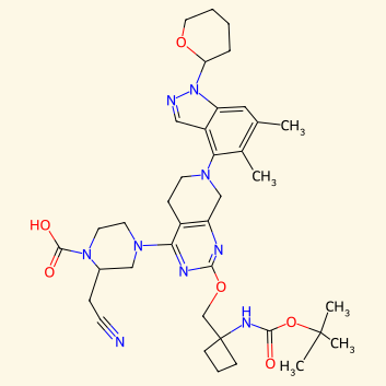 Cc1cc2c(cnn2C2CCCCO2)c(N2CCc3c(nc(OCC4(NC(=O)OC(C)(C)C)CCC4)nc3N3CCN(C(=O)O)C(CC#N)C3)C2)c1C